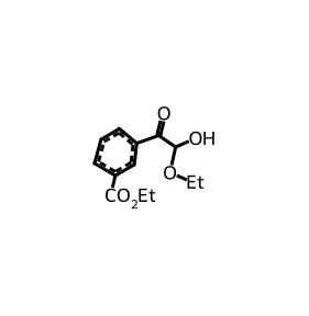 CCOC(=O)c1cccc(C(=O)C(O)OCC)c1